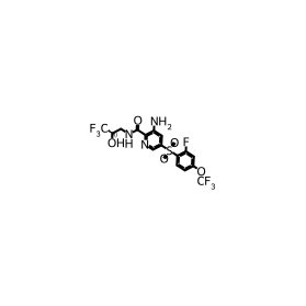 Nc1cc(S(=O)(=O)c2ccc(OC(F)(F)F)cc2F)cnc1C(=O)NC[C@@H](O)C(F)(F)F